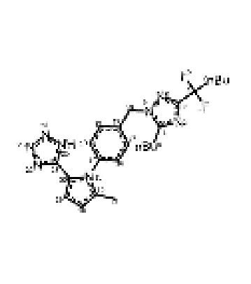 CCCCc1nc(C(F)(F)CCCC)nn1Cc1ccc(-n2c(C)ccc2-c2nnn[nH]2)cc1